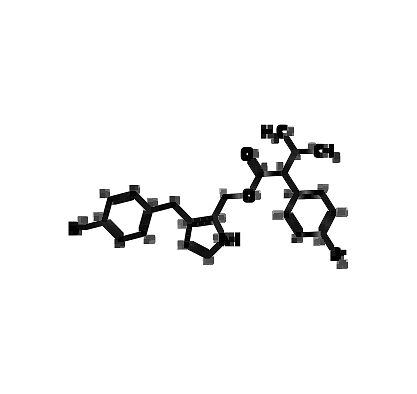 CC(C)C(C(=O)OCc1[nH]ccc1Cc1ccc(Br)cc1)c1ccc(Br)cc1